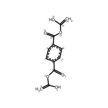 C=C(O)OC(=O)c1ccc(C(=O)OC(=C)O)cc1